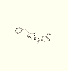 CN(CC(=O)O)C(=O)CNC(=O)[C@@H](N)Cc1ccccc1